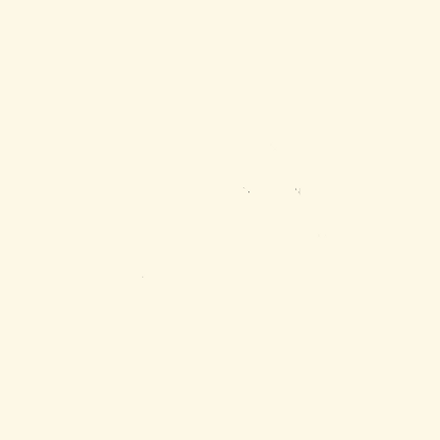 COc1cc(-c2ccc(C(F)(F)F)cc2)nc(SC)n1